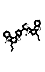 CCCc1cc2c(c3cccc(-c4ccc5c(c4)oc4cc(CCC)c6c(c7ccccc7n6C)c45)c3n2C)c2c1oc1ccccc12